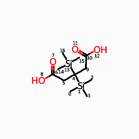 C[Si](C)(C)C(CC(=O)O)(CC(=O)O)[Si](C)(C)C